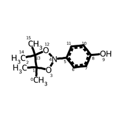 CC1(C)ON(c2ccc(O)cc2)OC1(C)C